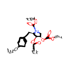 CCC(=O)O[C@@H]1[C@@H](OC(=O)OC(C)(C)C)CN(C(=O)OC(C)(C)C)[C@@H]1Cc1ccc(OC)cc1